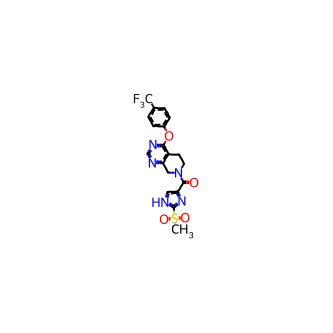 CS(=O)(=O)c1nc(C(=O)N2CCc3c(ncnc3Oc3ccc(C(F)(F)F)cc3)C2)c[nH]1